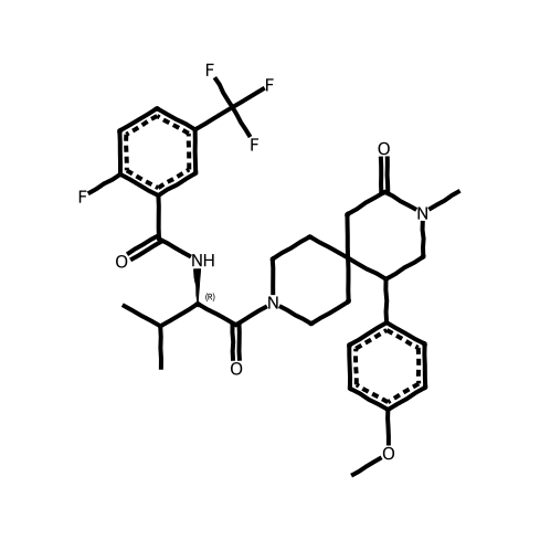 COc1ccc(C2CN(C)C(=O)CC23CCN(C(=O)[C@H](NC(=O)c2cc(C(F)(F)F)ccc2F)C(C)C)CC3)cc1